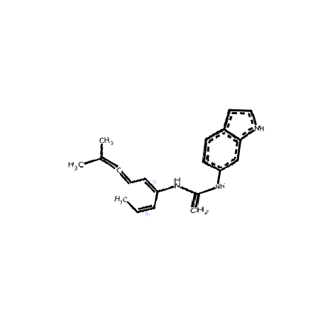 C=C(NC(/C=C\C)=C/C=C=C(C)C)Nc1ccc2cc[nH]c2c1